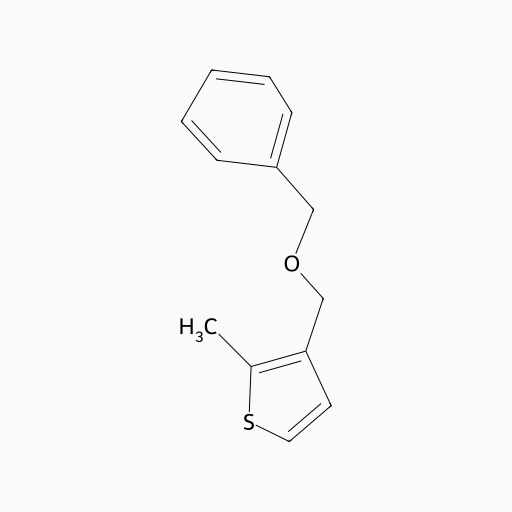 Cc1sccc1COCc1ccccc1